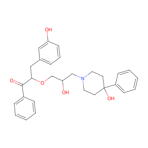 O=C(c1ccccc1)C(Cc1cccc(O)c1)OCC(O)CN1CCC(O)(c2ccccc2)CC1